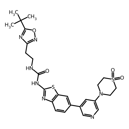 CC(C)(C)c1nc(CCNC(=O)Nc2nc3ccc(-c4cncc(N5CCS(=O)(=O)CC5)c4)cc3s2)no1